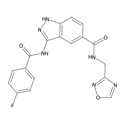 O=C(NCc1ncon1)c1ccc2[nH]nc(NC(=O)c3ccc(F)cc3)c2c1